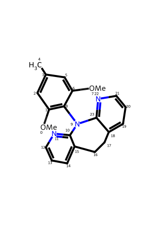 COc1cc(C)cc(OC)c1N1c2ncccc2CCc2cccnc21